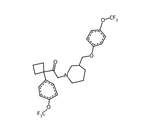 O=C(CN1CCCC(COc2ccc(OC(F)(F)F)cc2)C1)C1(c2ccc(OC(F)(F)F)cc2)CCC1